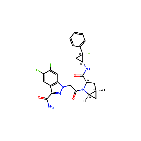 NC(=O)c1nn(CC(=O)N2[C@@H]3C[C@@H]3C[C@H]2C(=O)N[C@@H]2C[C@@]2(F)c2ccccc2)c2cc(F)c(F)cc12